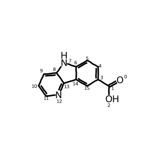 O=C(O)c1ccc2[nH]c3cccnc3c2c1